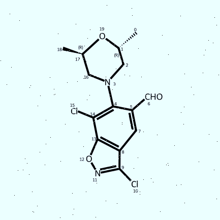 C[C@@H]1CN(c2c(C=O)cc3c(Cl)noc3c2Cl)C[C@@H](C)O1